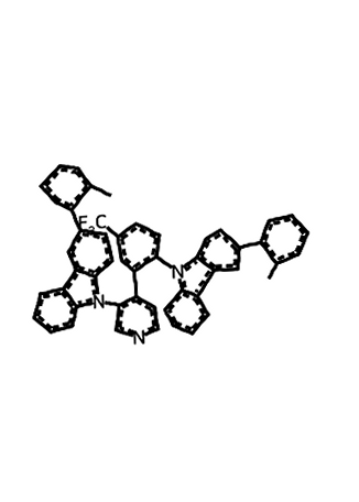 Cc1ccccc1-c1ccc2c(c1)c1ccccc1n2-c1ccc(C(F)(F)F)cc1-c1ccncc1-n1c2ccccc2c2cc(-c3ccccc3C)ccc21